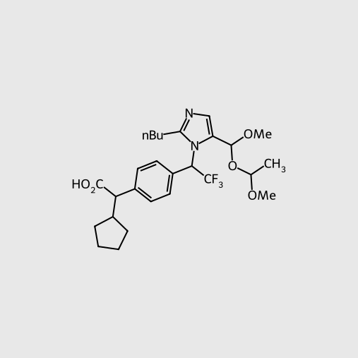 CCCCc1ncc(C(OC)OC(C)OC)n1C(c1ccc(C(C(=O)O)C2CCCC2)cc1)C(F)(F)F